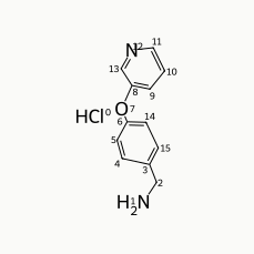 Cl.NCc1ccc(Oc2cccnc2)cc1